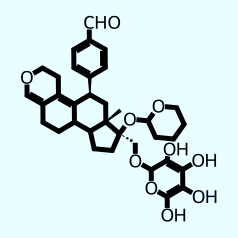 C[C@]12C[C@H](c3ccc(C=O)cc3)C3=C4CCOC=C4CCC3C1CC[C@]2(COC1OC(O)=C(O)C(O)=C1O)OC1CCCCO1